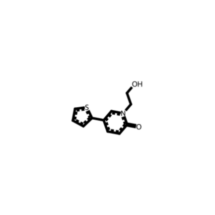 O=c1ccc(-c2cccs2)cn1CCO